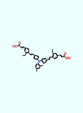 CCc1cc(/C=C/C(=O)O)ccc1/C=C/c1ccc(N(c2ccc(/C=C/c3ccc(/C=C/C(=O)O)cc3CC)cc2)c2ccc(C)cc2C)cc1